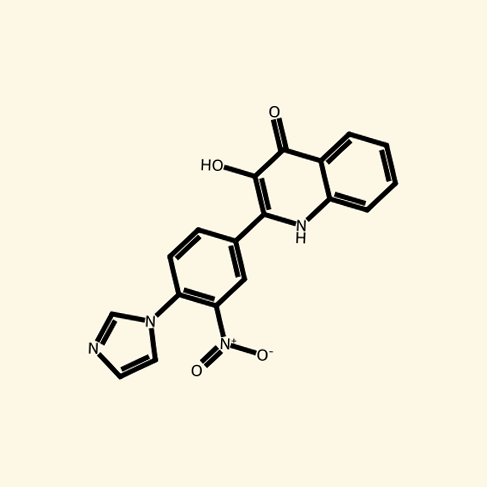 O=c1c(O)c(-c2ccc(-n3ccnc3)c([N+](=O)[O-])c2)[nH]c2ccccc12